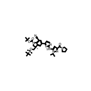 CC(C)n1nc(C(=O)N2CCCC2)cc1Nc1nccc(-c2cc(C#N)c3c(c2)[C@@](C)(CO[Si](C)(C)C(C)(C)C)CN3C(=O)OC(C)(C)C)n1